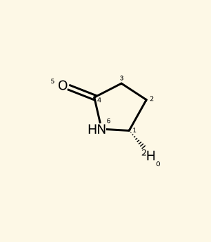 [2H][C@H]1CCC(=O)N1